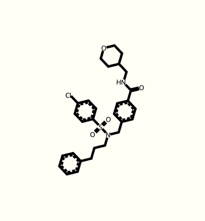 O=C(NCC1CCOCC1)c1ccc(CN(CCCc2ccccc2)S(=O)(=O)c2ccc(Cl)cc2)cc1